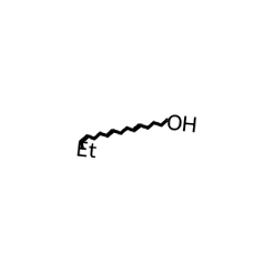 CC/C=C\CC/C=C/CC/C=C/CCCCO